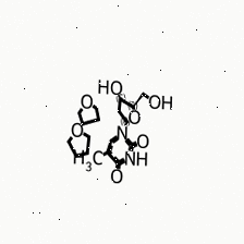 C1CCOC1.C1CCOC1.Cc1cn([C@H]2C[C@H](O)[C@@H](CO)O2)c(=O)[nH]c1=O